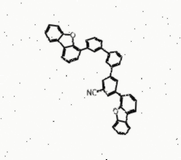 N#Cc1cc(-c2cccc(-c3cccc(-c4cccc5c4oc4ccccc45)c3)c2)cc(-c2cccc3c2oc2ccccc23)c1